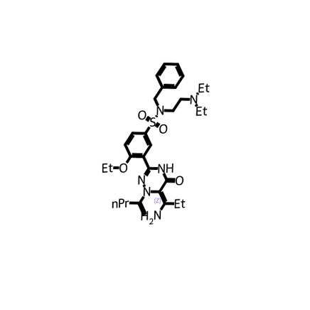 C=C(CCC)N1N=C(c2cc(S(=O)(=O)N(CCN(CC)CC)Cc3ccccc3)ccc2OCC)NC(=O)/C1=C(/N)CC